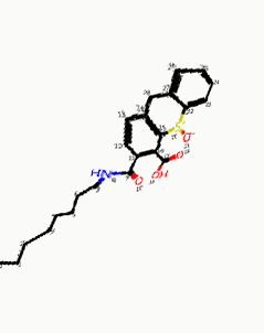 CCCCCCCCNC(=O)c1ccc2c(c1C(=O)O)[S+]([O-])c1ccccc1C2